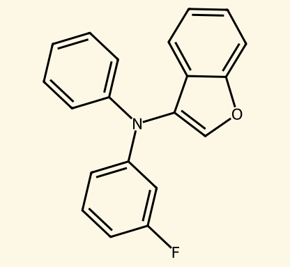 Fc1cccc(N(c2ccccc2)c2coc3ccccc23)c1